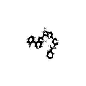 O=C(Nc1cncc(-c2ccc3[nH]nc(-c4cc5c(-c6ccccc6F)cncc5[nH]4)c3n2)c1)C1CCCCC1